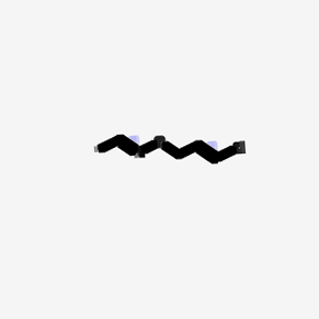 [CH2]/C=N/OC/C=C/Cl